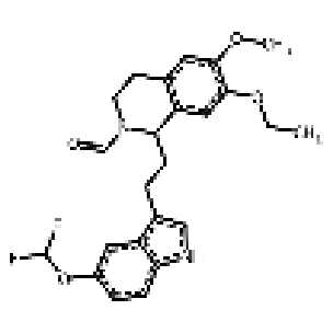 CCOc1cc2c(cc1OC)CCN(C=O)C2CCc1c[nH]c2ccc(OC(F)F)cc12